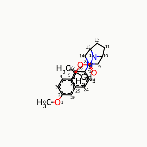 COc1ccc2cc(N3CC4CCC(C3)N4C(=O)OC(C)(C)C)ccc2c1